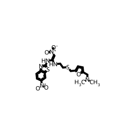 CN(C)Cc1ccc(CSCCN/C(=C/[N+](=O)[O-])Nc2nc3ccc([N+](=O)[O-])cc3s2)o1